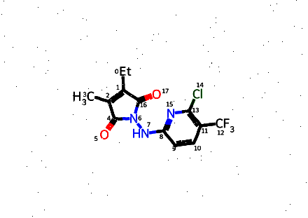 CCC1=C(C)C(=O)N(Nc2ccc(C(F)(F)F)c(Cl)n2)C1=O